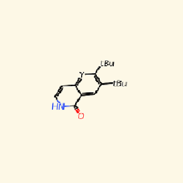 CC(C)(C)C1=[C](C(C)(C)C)[Y]=[c]2cc[nH]c(=O)c2=C1